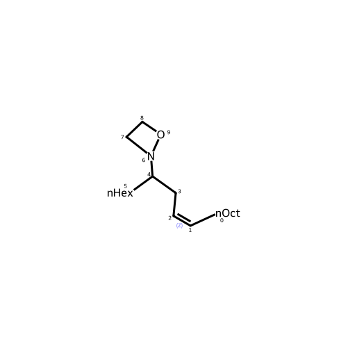 CCCCCCCC/C=C\CC(CCCCCC)N1CCO1